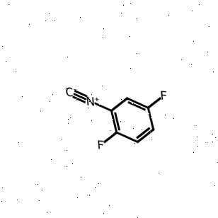 [C-]#[N+]c1cc(F)ccc1F